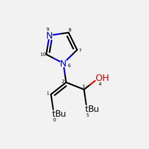 CC(C)(C)C=C(C(O)C(C)(C)C)n1ccnc1